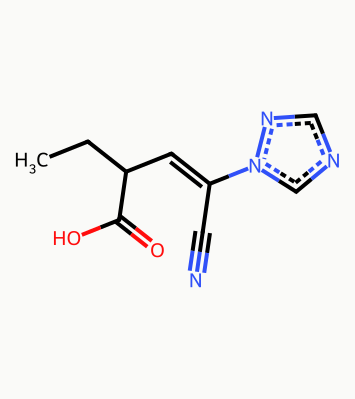 CCC(C=C(C#N)n1cncn1)C(=O)O